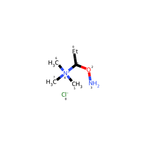 CCC(ON)[N+](C)(C)C.[Cl-]